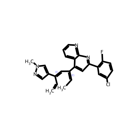 C=C/C(=C\C(=C/C)c1cc(-c2cc(Cl)ccc2F)nc2ncccc12)c1cnn(C)c1